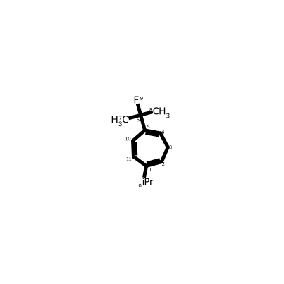 CC(C)C1=CCC=C(C(C)(C)F)C=C1